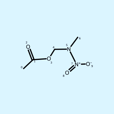 CC(=O)OCN(C)[N+](=O)[O-]